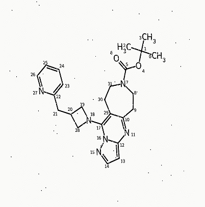 CC(C)(C)OC(=O)N1CCc2nc3ccnn3c(N3CC(Cc4ccccn4)C3)c2CC1